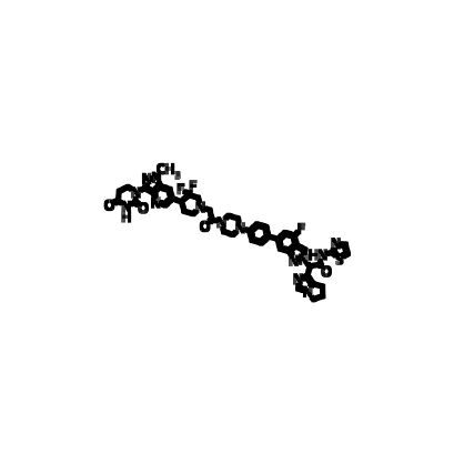 Cn1nc(N2CCC(=O)NC2=O)c2ncc(C3CCN(CC(=O)N4CCN(c5ccc(-c6cc(F)c7cn(C(C(=O)Nc8nccs8)c8ncn9c8CCC9)nc7c6)cc5)CC4)CC3(F)F)cc21